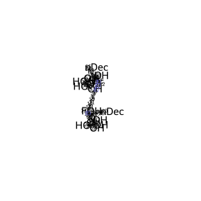 C=CC(=C\C=C\CCCCCCCCCC/C(F)=C\[C@@H](COC1OC(CO)C(O)C(O)C1O)[C@H](O)CCCCCCCCCCCCCCC)/C(F)=C\[C@@H](COC1OC(CO)C(O)C(O)C1O)[C@H](O)CCCCCCCCCCCCCCC